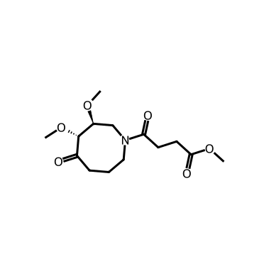 COC(=O)CCC(=O)N1CCCC(=O)[C@H](OC)[C@@H](OC)C1